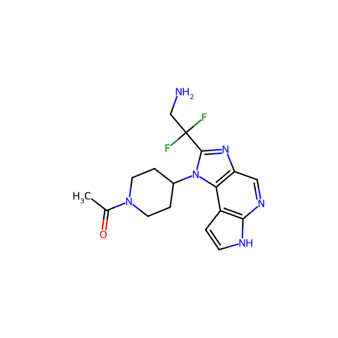 CC(=O)N1CCC(n2c(C(F)(F)CN)nc3cnc4[nH]ccc4c32)CC1